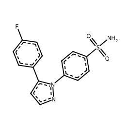 NS(=O)(=O)c1ccc(-n2n[c]cc2-c2ccc(F)cc2)cc1